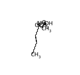 CCCCCCCCCC#CC#CCCCCCCCC(C)(CC(C)CCC(=O)O)C(N)=O